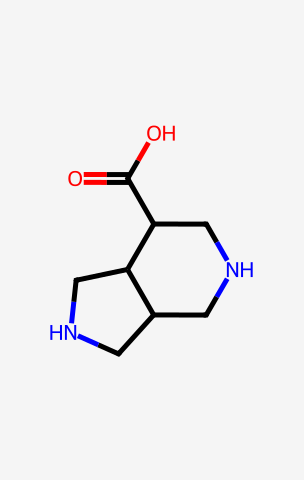 O=C(O)C1CNCC2CNCC21